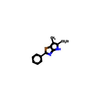 CCOC(=O)c1[nH]c2nc(-c3ccccc3)sc2c1C